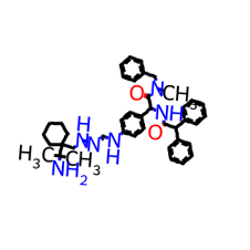 CN(Cc1ccccc1)C(=O)C(NC(=O)C(c1ccccc1)c1ccccc1)c1ccc(N/C=N/NCC2(C(C)(C)N)CCCCC2)cc1